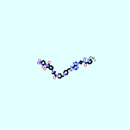 Cc1cccc(C(=O)NC2CC(n3cnc4c(NCCC5CCN(CC6CCN(C(=O)C7CN(c8ccc9c(c8)C(=O)N([C@H]8CCC(=O)NC8=O)C9=O)C7)CC6)CC5)ncnc43)C2)n1